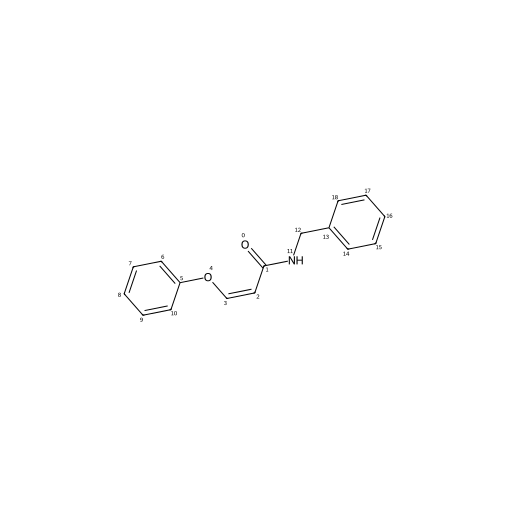 O=C(/C=C\Oc1ccccc1)NCc1ccccc1